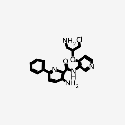 NCC(CCl)Oc1ccncc1NC(=O)c1nc(-c2ccccc2)ccc1N